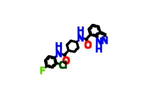 O=C(N[C@H]1CC[C@H](C(=O)Nc2ccc(F)cc2Cl)CC1)c1cccc2cn[nH]c12